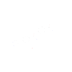 O=C(NC1CCCC1)c1cccc(CN(CCO)C(=O)c2ccc(-c3cn[nH]c3)cc2)c1